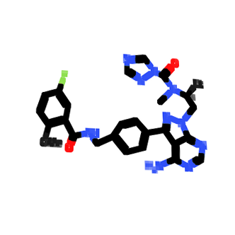 CC[C@@H](Cn1nc(-c2ccc(CNC(=O)c3cc(F)ccc3OC)cc2)c2c(N)ncnc21)N(C)C(=O)n1cncn1